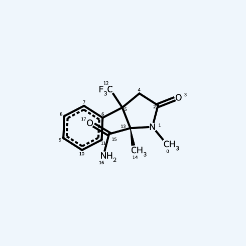 CN1C(=O)CC(c2ccccc2)(C(F)(F)F)[C@@]1(C)C(N)=O